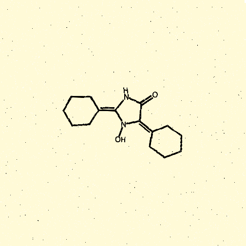 O=c1[nH]c(=C2CCCCC2)n(O)c1=C1CCCCC1